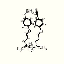 CN(C)CCCOc1ccc(C#N)cc1.CN(C)CCCOc1ccc(CN)cc1